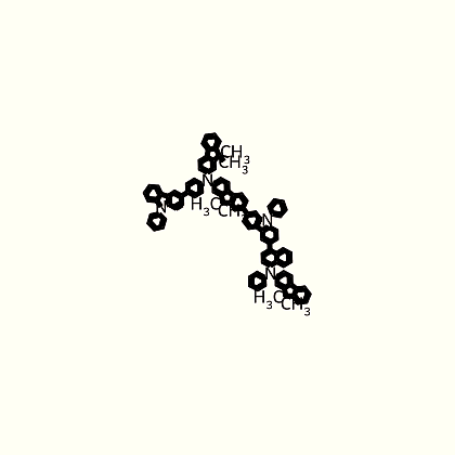 CC1(C)c2ccccc2-c2ccc(N(c3ccc(-c4c#cc5c(c4)c4ccccc4n5-c4ccccc4)cc3)c3ccc4c(c3)C(C)(C)c3cc(-c5ccc6c7c(n(-c8ccccc8)c6c5)CCC(c5ccc(N(c6ccccc6)c6ccc8c(c6)C(C)(C)c6ccccc6-8)c6ccccc56)=C7)ccc3-4)cc21